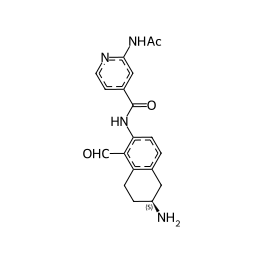 CC(=O)Nc1cc(C(=O)Nc2ccc3c(c2C=O)CC[C@H](N)C3)ccn1